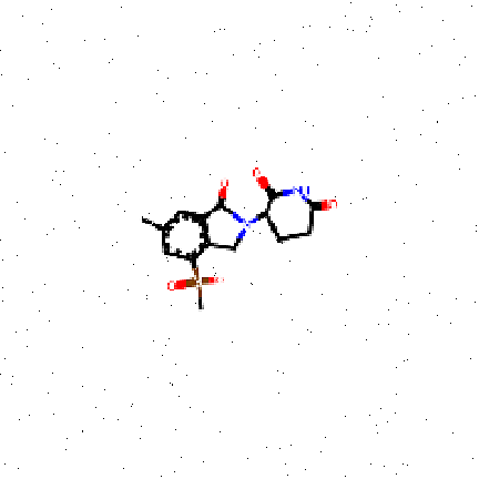 Cc1cc2c(c(S(C)(=O)=O)c1)CN(C1CCC(=O)NC1=O)C2=O